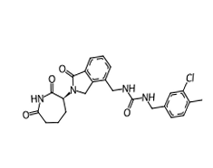 Cc1ccc(CNC(=O)NCc2cccc3c2CN([C@H]2CCCC(=O)NC2=O)C3=O)cc1Cl